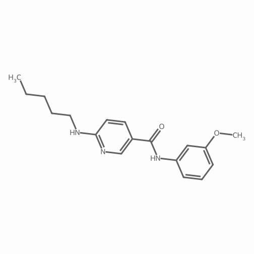 CCCCCNc1ccc(C(=O)Nc2cccc(OC)c2)cn1